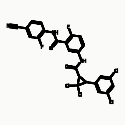 N#Cc1ccc(NC(=O)c2cc(NC(=O)C3C(c4cc(Cl)cc(Cl)c4)C3(Cl)Cl)ccc2F)c(F)c1